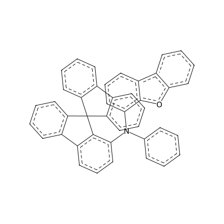 c1ccc(N(c2cccc3c2C2(c4ccccc4-c4ccccc42)c2ccccc2-3)c2cccc3c2oc2ccccc23)cc1